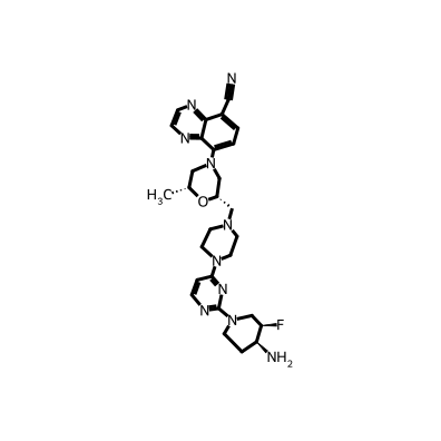 C[C@@H]1CN(c2ccc(C#N)c3nccnc23)C[C@H](CN2CCN(c3ccnc(N4CC[C@H](N)[C@H](F)C4)n3)CC2)O1